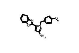 COc1ccc(Cn2nc(N)cc2-c2nc3ccccc3o2)cc1